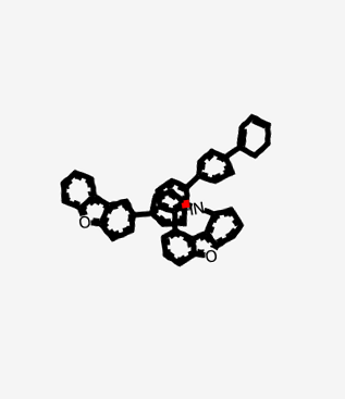 C1=CCCC(c2ccc(-c3cccc(-c4cccc5oc6cccc(Nc7ccc(-c8ccc9oc%10ccccc%10c9c8)cc7)c6c45)c3)cc2)=C1